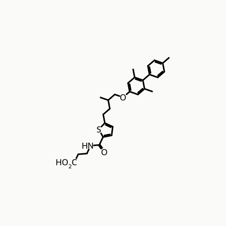 Cc1ccc(-c2c(C)cc(OCC(C)CCc3ccc(C(=O)NCCC(=O)O)s3)cc2C)cc1